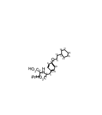 CC(C)C[C@H](N[C@@H](Cc1ccc(OCCC2CCCCC2)cc1)C(=O)O)C(=O)O